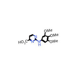 COc1cc(Nc2nccc(C(=O)O)n2)cc(OC)c1OC